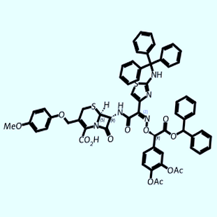 COc1ccc(OCC2=C(C(=O)O)N3C(=O)[C@@H](NC(=O)/C(=N\O[C@@H](C(=O)OC(c4ccccc4)c4ccccc4)c4ccc(OC(C)=O)c(OC(C)=O)c4)c4csc(NC(c5ccccc5)(c5ccccc5)c5ccccc5)n4)[C@@H]3SC2)cc1